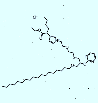 CCCCCCCCCCCCCCCCCCOCC(CSCCOCC[n+]1ccn(C(CCCC)C(=O)OCC)c1)Oc1ncccn1.[Cl-]